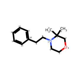 CC1(C)COCCN1CCc1ccccc1